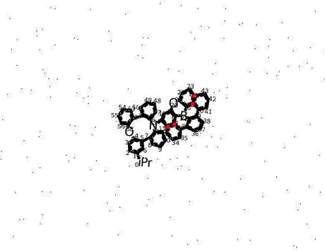 CC(C)c1ccc2c(c1)-c1ccccc1N(c1ccc3c(c1)Oc1ccccc1B3c1c(-c3ccccc3)cccc1-c1ccccc1)c1ccccc1-c1ccccc1O2